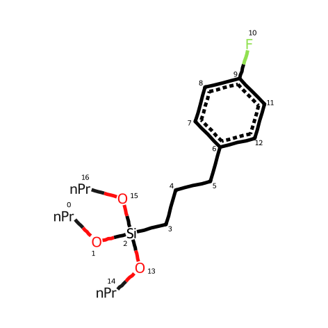 CCCO[Si](CCCc1ccc(F)cc1)(OCCC)OCCC